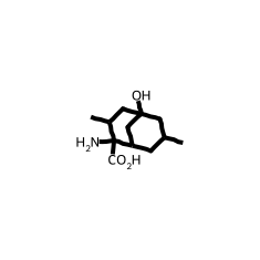 CC1CC2CC(O)(C1)CC(C)C2(N)C(=O)O